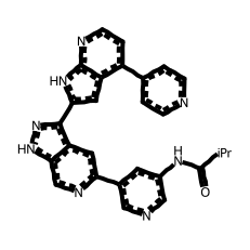 CC(C)C(=O)Nc1cncc(-c2cc3c(-c4cc5c(-c6ccncc6)ccnc5[nH]4)n[nH]c3cn2)c1